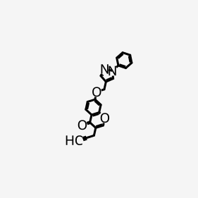 C#CCc1coc2cc(OCc3cnn(-c4ccccc4)c3)ccc2c1=O